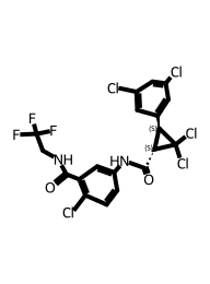 O=C(NCC(F)(F)F)c1cc(NC(=O)[C@@H]2[C@@H](c3cc(Cl)cc(Cl)c3)C2(Cl)Cl)ccc1Cl